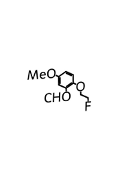 COc1ccc(OCCF)c(C=O)c1